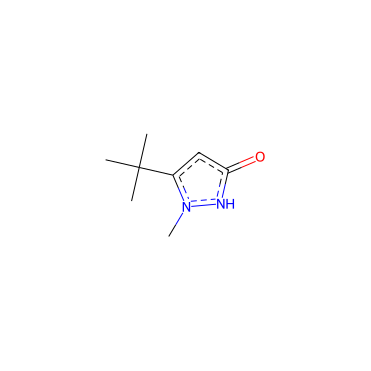 Cn1[nH]c(=O)cc1C(C)(C)C